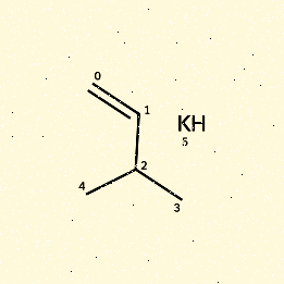 C=CC(C)C.[KH]